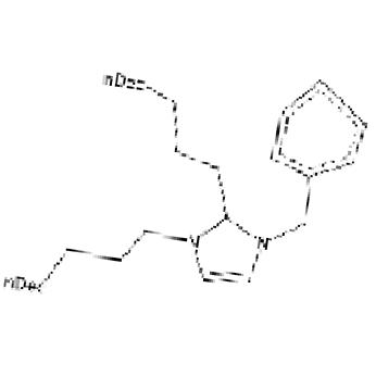 CCCCCCCCCCCCCC1N(CCCCCCCCCCCCC)C=CN1Cc1ccccc1